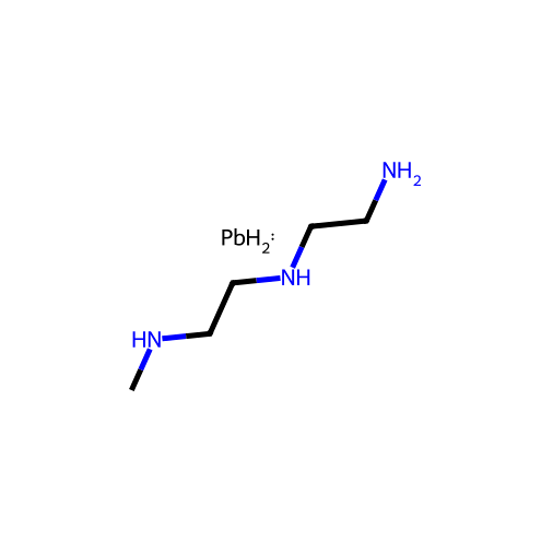 CNCCNCCN.[PbH2]